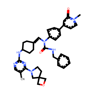 Cn1ccc(-c2ccc(N(C=C3CCC(Nc4ncc(C#N)c(N5CCC6(COC6)C5)n4)CC3)C(=O)NCc3ccccc3)cc2)cc1=O